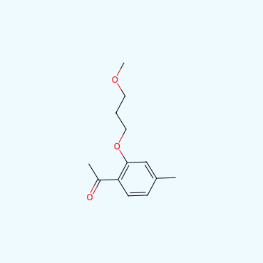 COCCCOc1cc(C)ccc1C(C)=O